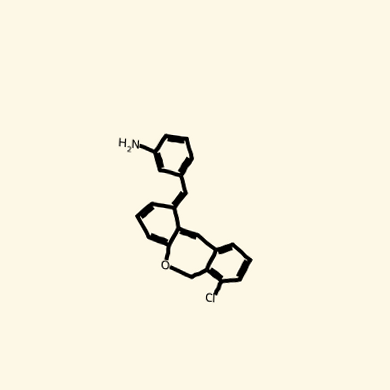 Nc1cccc(C=c2cccc3c2=Cc2cccc(Cl)c2CO3)c1